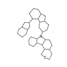 C1CCC2CC(C3CCCC4CC5CCC(N6C7CCCCC7C7C8CCCCC8CCC76)CC5C43)CC2C1